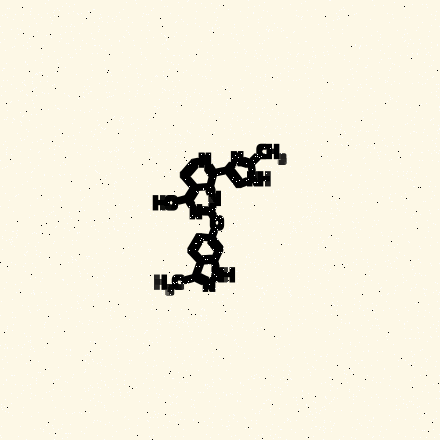 Cc1nc(-c2nccc3c(O)nc(Oc4ccc5c(C)n[nH]c5c4)nc23)c[nH]1